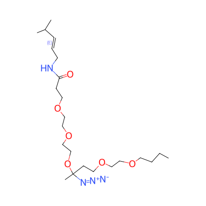 CCCCOCCOCCC(C)(N=[N+]=[N-])OCCOCCOCCC(=O)NC/C=C/C(C)C